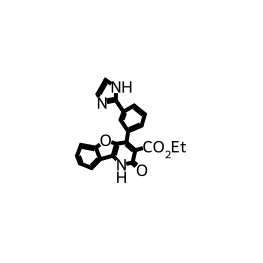 CCOC(=O)c1c(-c2cccc(-c3ncc[nH]3)c2)c2oc3ccccc3c2[nH]c1=O